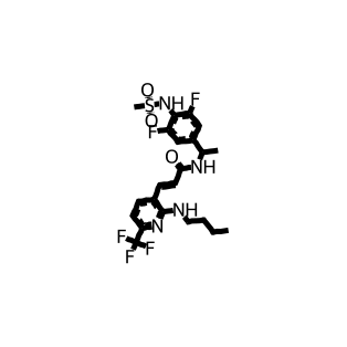 CCCCNc1nc(C(F)(F)F)ccc1C=CC(=O)NC(C)c1cc(F)c(NS(C)(=O)=O)c(F)c1